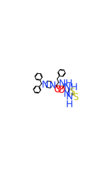 O=C(Nc1n[nH]c(=S)s1)NC(Cc1ccccc1)C(=O)N1CCN(C(c2ccccc2)c2ccccc2)CC1